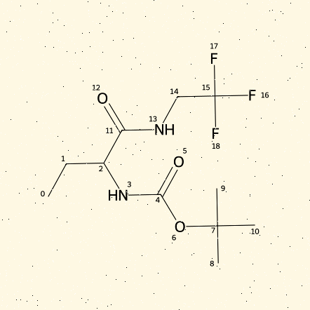 CCC(NC(=O)OC(C)(C)C)C(=O)NCC(F)(F)F